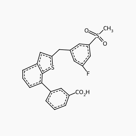 CS(=O)(=O)c1cc(F)cc(Cc2cc3cccc(-c4cccc(C(=O)O)c4)c3s2)c1